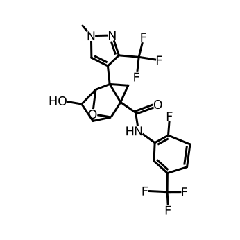 Cn1cc(C23CC2(C(=O)Nc2cc(C(F)(F)F)ccc2F)C2CC(O)C3O2)c(C(F)(F)F)n1